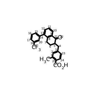 Cc1cc(CC2CCc3c(cccc3-c3cccc(C(F)(F)F)c3)C2=O)ccc1C(=O)O